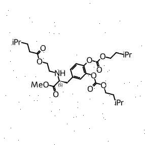 COC(=O)[C@H](Cc1ccc(OC(=O)OCCC(C)C)c(OC(=O)OCCC(C)C)c1)NCCOC(=O)CCC(C)C